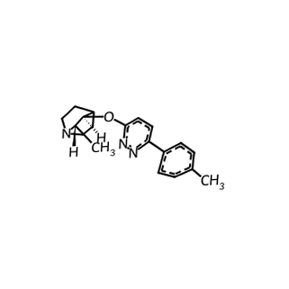 Cc1ccc(-c2ccc(O[C@@H]3C4CCN(CC4)[C@H]3C)nn2)cc1